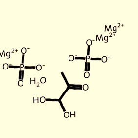 CC(=O)C(O)O.O.O=P([O-])([O-])[O-].O=P([O-])([O-])[O-].[Mg+2].[Mg+2].[Mg+2]